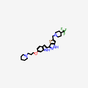 FC(F)(F)C1CCN(Cc2cc3[nH]nc(-c4cc5ccc(OCCCN6CCCCC6)cc5[nH]4)c3s2)CC1